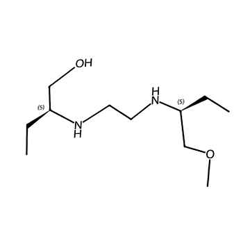 CC[C@@H](CO)NCCN[C@@H](CC)COC